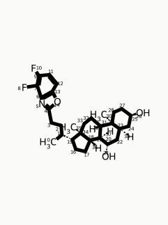 CC(CCc1nc2c(F)c(F)ccc2o1)[C@H]1CC[C@H]2[C@@H]3[C@@H](O)C[C@@H]4C[C@H](O)CC[C@]4(C)[C@H]3CC[C@]12C